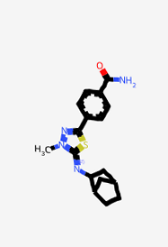 Cn1nc(-c2ccc(C(N)=O)cc2)s/c1=N\C1CC2CCC1C2